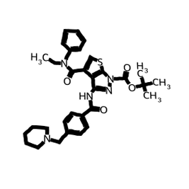 CCN(C(=O)c1csc2c1c(NC(=O)c1ccc(CN3CCCCC3)cc1)nn2C(=O)OC(C)(C)C)c1ccccc1